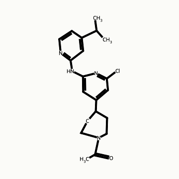 CC(=O)N1CCC(c2cc(Cl)nc(Nc3cc(C(C)C)ccn3)c2)CC1